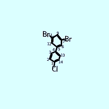 Clc1ccc(-c2cc(Br)cc(Br)c2)cc1